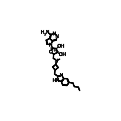 CCCCc1ccc2[nH]c(CC3CC(N(C)CC4O[C@@H](n5ccc6c(N)nncc65)[C@H](O)[C@@H]4O)C3)nc2c1